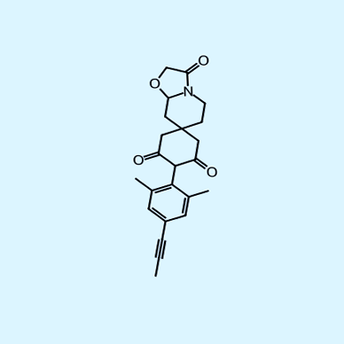 CC#Cc1cc(C)c(C2C(=O)CC3(CCN4C(=O)COC4C3)CC2=O)c(C)c1